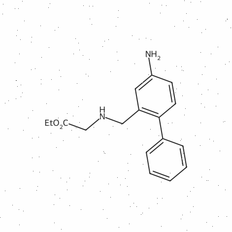 CCOC(=O)CNCc1cc(N)ccc1-c1ccccc1